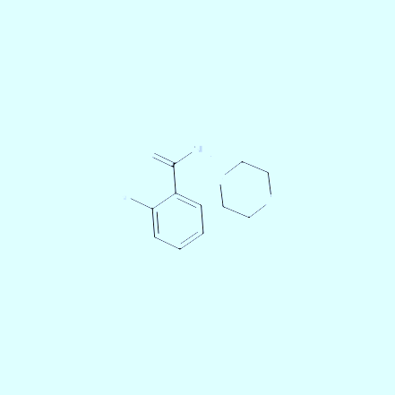 C1COCCO1.NC(=O)c1ccccc1Br